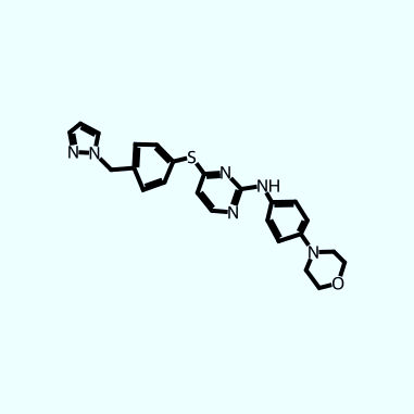 c1cnn(Cc2ccc(Sc3ccnc(Nc4ccc(N5CCOCC5)cc4)n3)cc2)c1